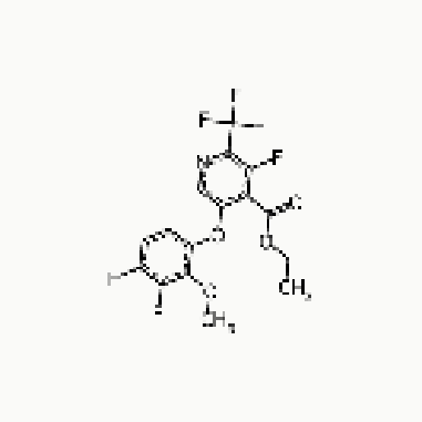 CCOC(=O)c1c(Oc2ccc(F)c(F)c2OC)cnc(C(F)(F)F)c1F